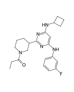 CCC(=O)N1CCCC(c2nc(Nc3cccc(F)c3)cc(NC3CCC3)n2)C1